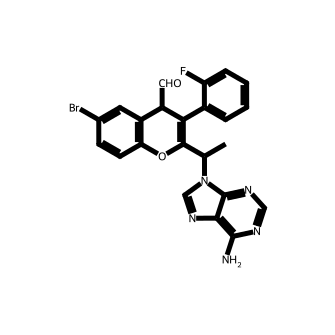 CC(C1=C(c2ccccc2F)C(C=O)c2cc(Br)ccc2O1)n1cnc2c(N)ncnc21